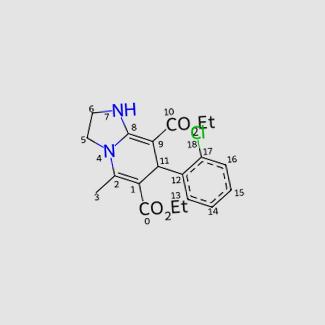 CCOC(=O)C1=C(C)N2CCNC2=C(C(=O)OCC)C1c1ccccc1Cl